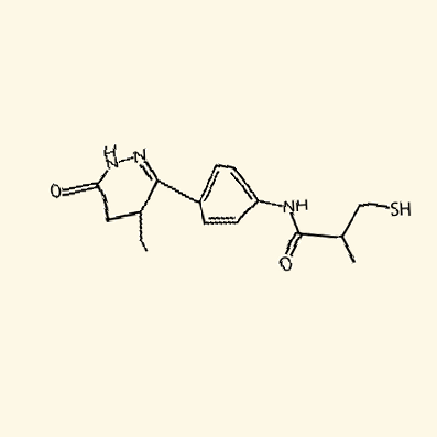 CC(CS)C(=O)Nc1ccc(C2=NNC(=O)CC2C)cc1